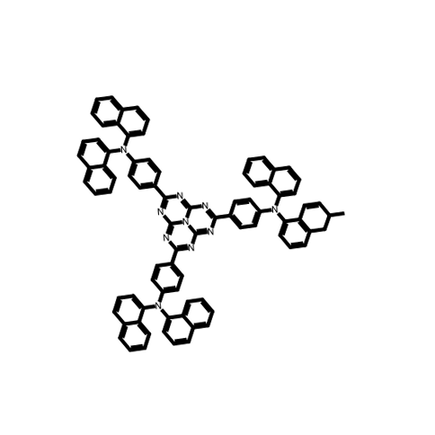 CC1C=Cc2c(cccc2N(c2ccc(C3=NC4=NC(c5ccc(N(c6cccc7ccccc67)c6cccc7ccccc67)cc5)=NC5=NC(c6ccc(N(c7cccc8ccccc78)c7cccc8ccccc78)cc6)=NC(=N3)N45)cc2)c2cccc3ccccc23)C1